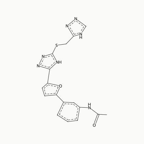 CC(=O)Nc1cccc(-c2ccc(-c3nnc(SCc4nnc[nH]4)[nH]3)o2)c1